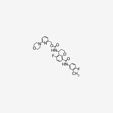 Cc1cc(NC(=O)c2ccc(F)c3c2OCC[C@@H]3NC(=O)OCc2cccc(N3CCOCC3)n2)ccc1F